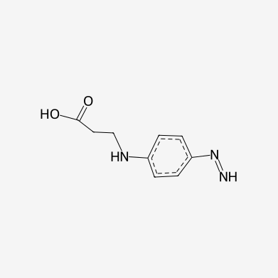 N=Nc1ccc(NCCC(=O)O)cc1